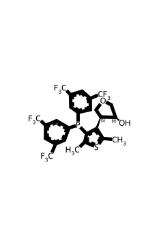 Cc1sc(C)c(P(c2cc(C(F)(F)F)cc(C(F)(F)F)c2)c2cc(C(F)(F)F)cc(C(F)(F)F)c2)c1[C@H]1COC[C@@H]1O